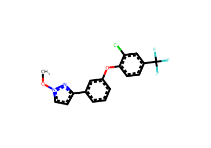 COn1ccc(-c2cccc(Oc3ccc(C(F)(F)F)cc3Cl)c2)n1